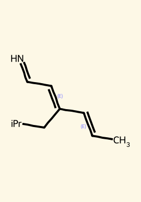 C/C=C/C(=C/C=N)CC(C)C